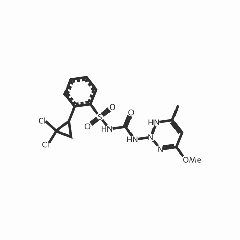 COC1=NN(NC(=O)NS(=O)(=O)c2ccccc2C2CC2(Cl)Cl)NC(C)=C1